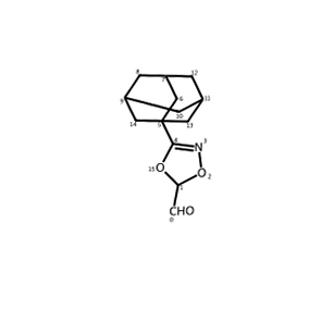 O=CC1ON=C(C23CC4CC(CC(C4)C2)C3)O1